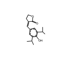 CC(C)c1cc(C=C2CCOC2=O)cc(C(C)C)c1O